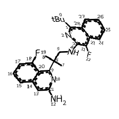 CC(C)(C)c1nc(NCC(C)(C)c2nc(N)cc3cccc(F)c23)c(F)c2ccccc12